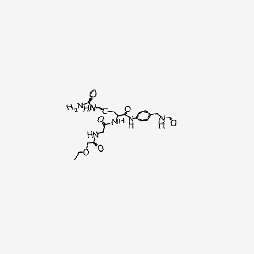 CCOCC(=O)NCC(=O)NC(CCCNC(N)=O)C(=O)Nc1ccc(CNC=O)cc1